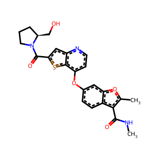 CNC(=O)c1c(C)oc2cc(Oc3ccnc4cc(C(=O)N5CCC[C@H]5CO)sc34)ccc12